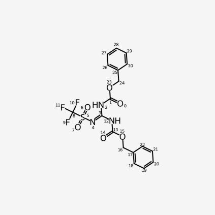 O=C(NC(=NS(=O)(=O)C(F)(F)F)NC(=O)OCc1ccccc1)OCc1ccccc1